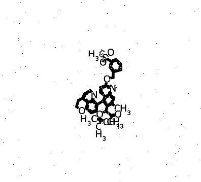 CC(=O)C(OC(C)(C)C)c1c(C)cc2nc(OCc3cccc(S(C)(=O)=O)c3)ccc2c1-c1ccc2c3c(ccnc13)CCO2